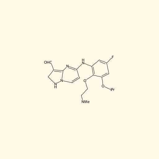 CNCCOc1c(NC2=NC3=C(C=O)CNN3C=C2)cc(F)cc1OC(C)C